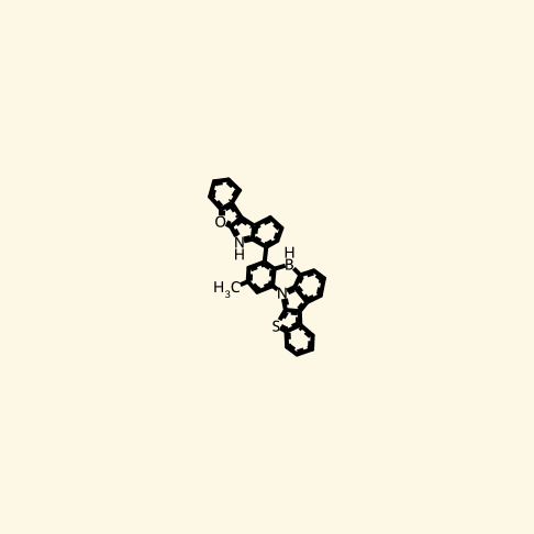 Cc1cc(-c2cccc3c2[nH]c2oc4ccccc4c23)c2c(c1)-n1c3sc4ccccc4c3c3cccc(c31)B2